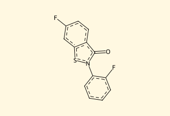 O=c1c2ccc(F)cc2sn1-c1ccccc1F